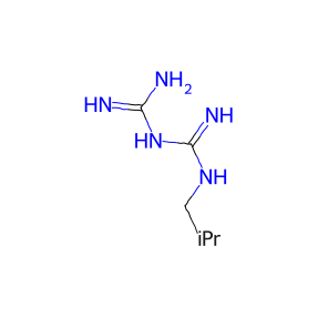 CC(C)CNC(=N)NC(=N)N